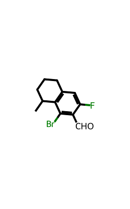 CC1CCCc2cc(F)c(C=O)c(Br)c21